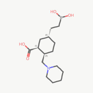 O=C(O)[C@H]1C[C@H](CCB(O)O)CC[C@H]1CN1CCCCC1